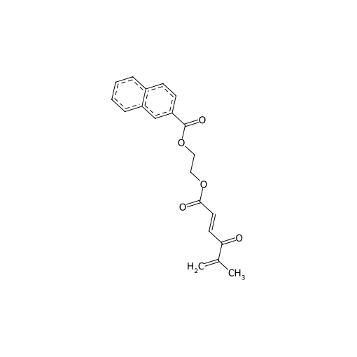 C=C(C)C(=O)C=CC(=O)OCCOC(=O)c1ccc2ccccc2c1